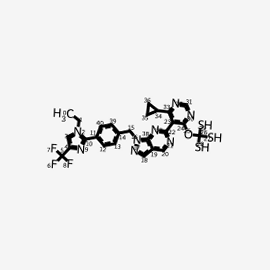 CCn1cc(C(F)(F)F)nc1-c1ccc(Cn2ncc3cnc(-c4c(OC(S)(S)S)ncnc4C4CC4)nc32)cc1